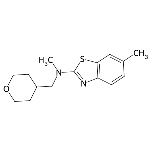 Cc1ccc2nc(N(C)CC3CCOCC3)sc2c1